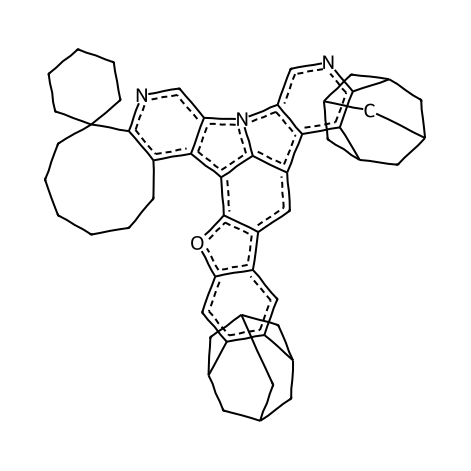 c1c2c(cc3c1oc1c3cc3c4c5c(ncc4n4c6cnc7c(c6c1c34)CCCCCCC71CCCCC1)C1CC3CC(C1)CC5C3)C1CC3CC(CC2C3)C1